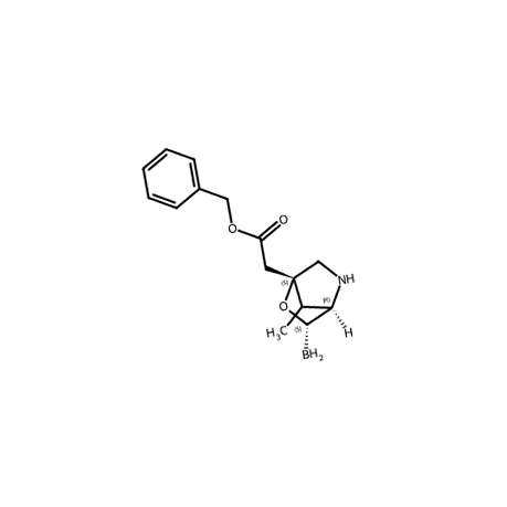 B[C@@H]1O[C@]2(CC(=O)OCc3ccccc3)CN[C@@H]1C2C